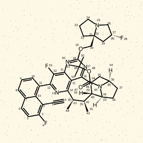 C#Cc1c(F)ccc2cccc(-c3nc4c5c(nc(OC[C@@]67CCCN6C[C@H](F)C7)nc5c3F)N3C[C@H]5CC[C@@H]([C@@H]3[C@@H](C)[C@H]4C)N5C(=O)OC(C)(C)C)c12